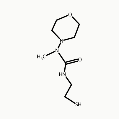 CN(C(=O)NCCS)N1CCOCC1